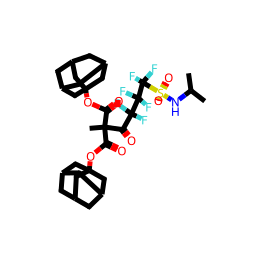 CC(C)NS(=O)(=O)C(F)(F)C(F)(F)C(F)(F)C(=O)C(C)(C(=O)OC12CC3CC(CC(C3)C1)C2)C(=O)OC12CC3CC(CC(C3)C1)C2